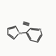 C#C.C1=C[SH](c2cccnc2)C=C1